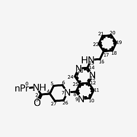 CCCNC(=O)C1CCN(c2nccc3nc(NCc4ccccc4)ncc23)CC1